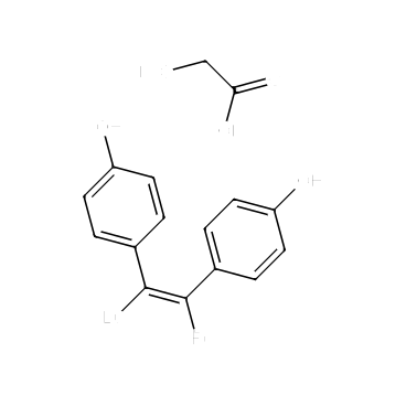 CCC(=C(CC)c1ccc(O)cc1)c1ccc(O)cc1.CCC(=O)O